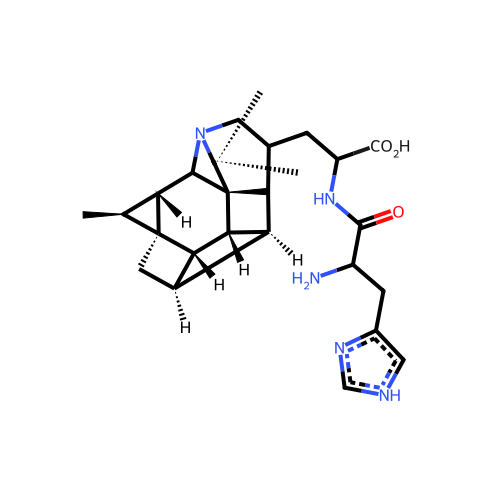 C[C@@H]1[C@H](C)[C@@]23C4C(CC(NC(=O)C(N)Cc5c[nH]cn5)C(=O)O)CN1C2[C@H]1[C@H](C)[C@@]12C[C@@H]1[C@H]4[C@@H]3[C@H]12